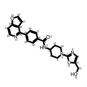 O=C(NC1CCN(c2ncc(CO)o2)CC1)c1ccc(-c2nccc3occc23)cc1